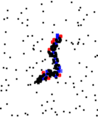 C[C@@H]1CN([C@@H]2CCN3c4cc5c(cc4OCC[C@H]3C2)C(=O)N(C2CCC(=O)NC2=O)C5)CCN1c1ccc(Nc2cc(-c3ccnc(N4CCn5c(cc6c5CC(C)(C)C6)C4=O)c3CO)cn(C)c2=O)nc1